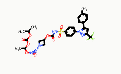 Cc1ccc(-c2cc(C(F)(F)F)nn2-c2ccc(S(=O)(=O)NC(=O)OC3CN(n4on4OC(C)OC(=O)OC(C)C)C3)cc2)cc1